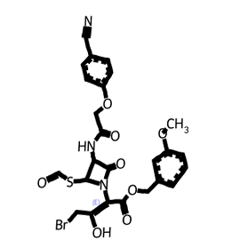 COc1cccc(COC(=O)/C(=C(\O)CBr)N2C(=O)C(NC(=O)COc3ccc(C#N)cc3)C2SC=O)c1